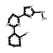 CCCNc1ncc(-c2ccnc(-c3ccccc3F)n2)s1